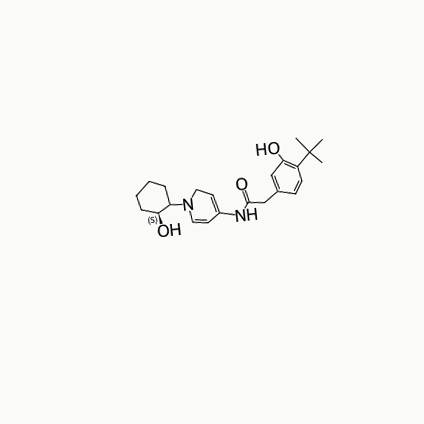 CC(C)(C)c1ccc(CC(=O)NC2=CCN(C3CCCC[C@@H]3O)C=C2)cc1O